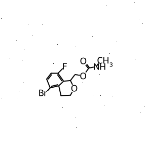 CNC(=O)OCC1OCCc2c(Br)ccc(F)c21